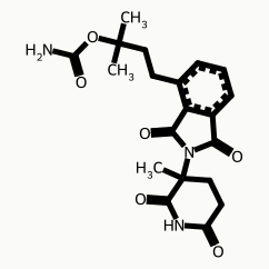 CC(C)(CCc1cccc2c1C(=O)N(C1(C)CCC(=O)NC1=O)C2=O)OC(N)=O